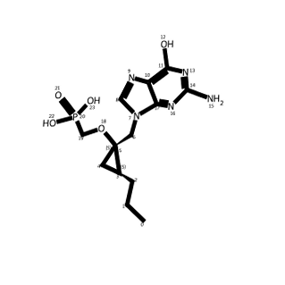 CCC[C@H]1C[C@]1(Cn1cnc2c(O)nc(N)nc21)OCP(=O)(O)O